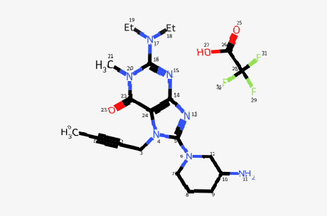 CC#CCn1c(N2CCCC(N)C2)nc2nc(N(CC)CC)n(C)c(=O)c21.O=C(O)C(F)(F)F